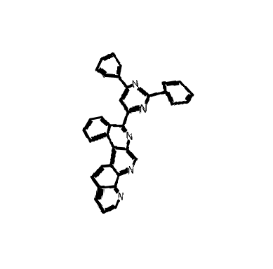 c1ccc(-c2cc(-c3nc4cnc5c(ccc6cccnc65)c4c4ccccc34)nc(-c3ccccc3)n2)cc1